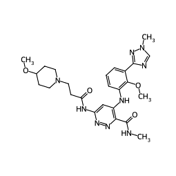 CNC(=O)c1nnc(NC(=O)CCN2CCC(OC)CC2)cc1Nc1cccc(-c2ncn(C)n2)c1OC